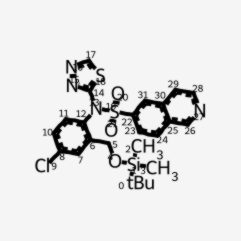 CC(C)(C)[Si](C)(C)OCc1cc(Cl)ccc1N(c1nncs1)S(=O)(=O)c1ccc2cnccc2c1